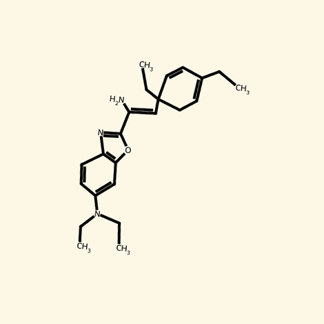 CCC1=CCC(C=C(N)c2nc3ccc(N(CC)CC)cc3o2)(CC)C=C1